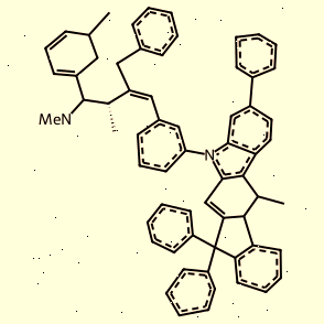 CNC(C1=CC=CC(C)C1)[C@@H](C)/C(=C\c1cccc(-n2c3c(c4ccc(-c5ccccc5)cc42)C(C)C2C(=C3)C(c3ccccc3)(c3ccccc3)c3ccccc32)c1)Cc1ccccc1